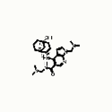 CN(C)CNC(=O)c1cnc2c(ccn2CN(C)C)c1N[C@H]1CC[C@]2(O)CCC[C@H]1C2